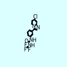 O=C(Nc1cccc(-c2cnc3cc(Cl)ccn23)c1)NC(F)(F)F